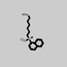 CCCCCCCCCCCCCCCC[N+](C)(CC)c1cccc2ccccc12.[Cl-]